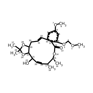 COCOc1cc(OC)cc2c1C(=O)O[C@@H](C)[C@H](C)/C=C\C(O)C1OC(C)(C)OC1C/C=C/2